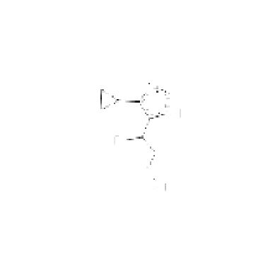 CCC(COC=O)c1[nH]cnc1C1CC1